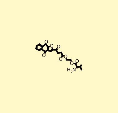 CC(C)[C@H](N)C(=O)OCCOC(=O)CCC(=O)c1cc2c(o1)C(=O)c1ccccc1C2=O